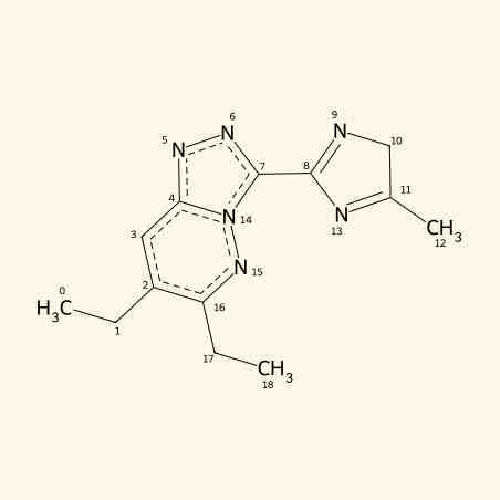 CCc1cc2nnc(C3=NCC(C)=N3)n2nc1CC